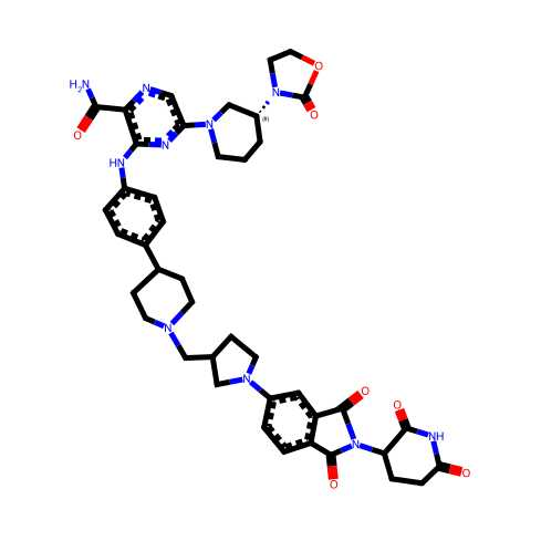 NC(=O)c1ncc(N2CCC[C@@H](N3CCOC3=O)C2)nc1Nc1ccc(C2CCN(CC3CCN(c4ccc5c(c4)C(=O)N(C4CCC(=O)NC4=O)C5=O)C3)CC2)cc1